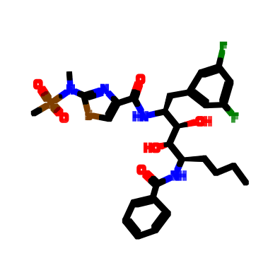 CCCC[C@@H](NC(=O)c1ccccc1)[C@@H](O)[C@H](O)[C@H](Cc1cc(F)cc(F)c1)NC(=O)c1csc(N(C)S(C)(=O)=O)n1